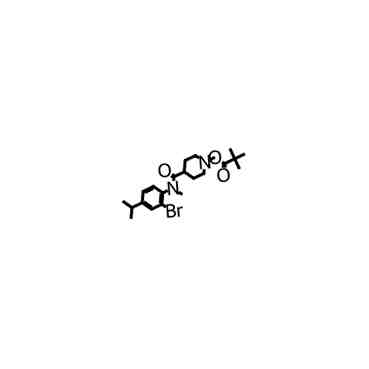 CC(C)c1ccc(N(C)C(=O)C2CCN(OC(=O)C(C)(C)C)CC2)c(Br)c1